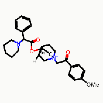 COc1ccc(C(=O)C[N+]23CCC(CC2)[C@@H](OC(=O)C(c2ccccc2)N2CCCCC2)C3)cc1